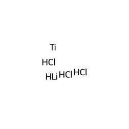 Cl.Cl.Cl.[LiH].[Ti]